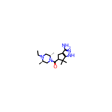 CCN1C[C@H](C)N(C(=O)C2Cc3c(N)n[nH]c3C2(C)C)C[C@H]1C